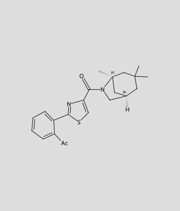 CC(=O)c1ccccc1-c1nc(C(=O)N2C[C@@H]3CC(C)(C)C[C@@]2(C)C3)cs1